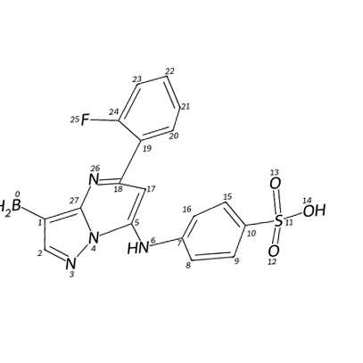 Bc1cnn2c(Nc3ccc(S(=O)(=O)O)cc3)cc(-c3ccccc3F)nc12